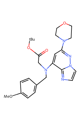 COc1ccc(CN(CC(=O)OC(C)(C)C)c2cc(N3CCOCC3)nn3ccnc23)cc1